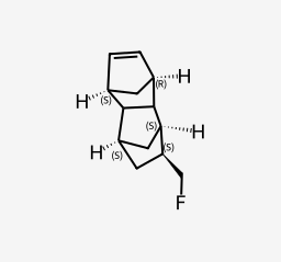 FC[C@H]1C[C@@H]2C[C@H]1C1C2[C@H]2C=C[C@@H]1C2